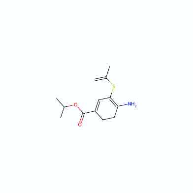 C=C(C)SC1=C(N)CCC(C(=O)OC(C)C)=C1